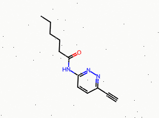 C#Cc1ccc(NC(=O)CCCCC)nn1